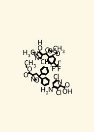 CCOC(=O)C1=NOC(c2ccccc2)(c2ccccc2)C1.Cc1nn(C)c(O)c1C(=O)c1ccc(C(F)(F)F)cc1S(C)(=O)=O.Nc1cc(Cl)nc(C(=O)O)c1Cl